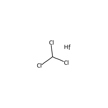 ClC(Cl)Cl.[Hf]